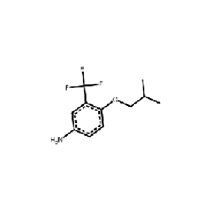 C[C](C)COc1ccc(N)cc1C(F)(F)F